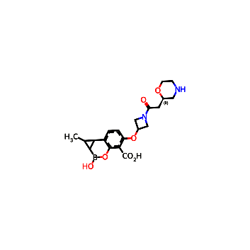 CC1C2B(O)Oc3c(ccc(OC4CN(C(=O)C[C@@H]5CNCCO5)C4)c3C(=O)O)C12